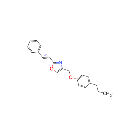 [CH2]CCc1ccc(OCc2coc(/C=C/c3ccccc3)n2)cc1